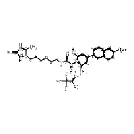 COc1ccc2cc(-c3cc(C)[n+](N(C)C(=O)OCCCCCC[C@H]4NC(=O)N[C@H]4C)c(C)c3)ccc2c1.O=C([O-])C(F)(F)F